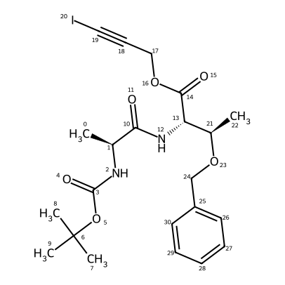 C[C@H](NC(=O)OC(C)(C)C)C(=O)N[C@H](C(=O)OCC#CI)[C@@H](C)OCc1ccccc1